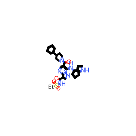 CCS(=O)(=O)NC(=O)c1cnn2c(Nc3cccc4[nH]ccc34)c(C(=O)N3CCC(c4ccccc4)CC3)cnc12